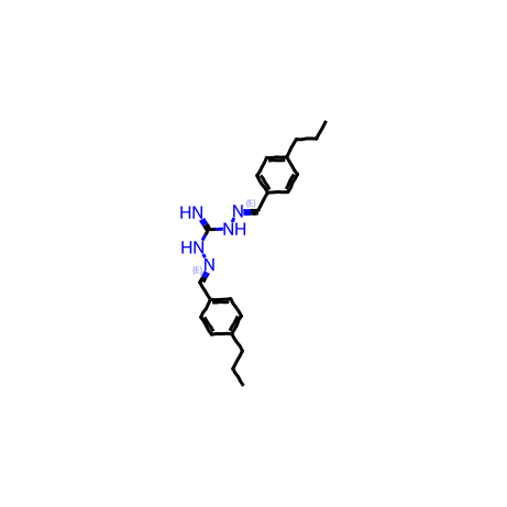 CCCc1ccc(/C=N/NC(=N)N/N=C/c2ccc(CCC)cc2)cc1